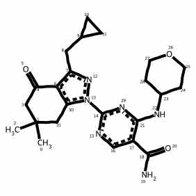 CC1(C)CC(=O)c2c(CC3CC3)nn(-c3ncc(C(N)=O)c(NC4CCOCC4)n3)c2C1